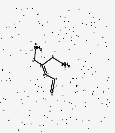 NCC(=CC=O)CN